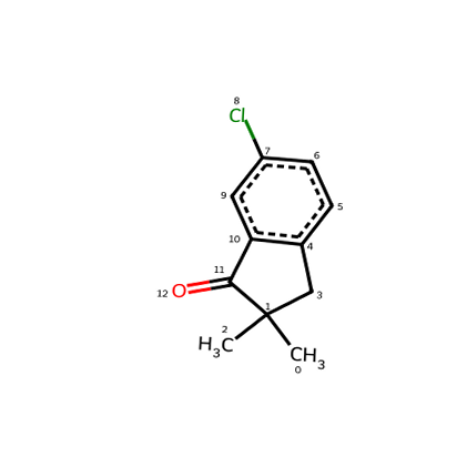 CC1(C)Cc2ccc(Cl)cc2C1=O